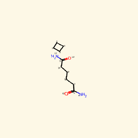 C1CCC1.NC(=O)CCCCC(N)=O